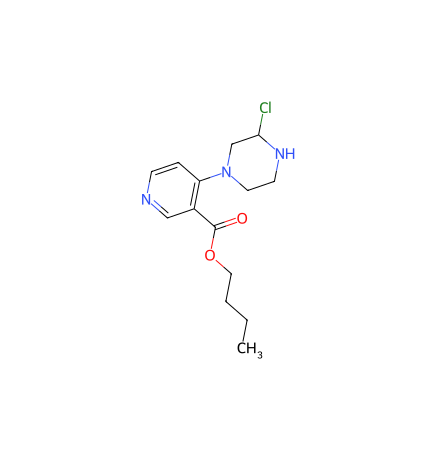 CCCCOC(=O)c1cnccc1N1CCNC(Cl)C1